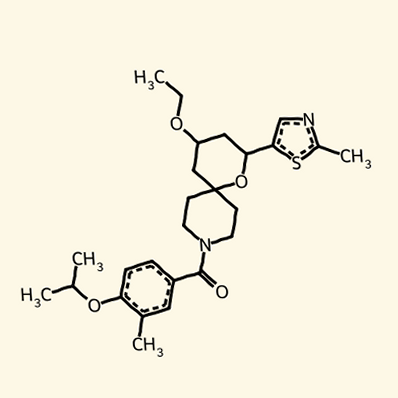 CCOC1CC(c2cnc(C)s2)OC2(CCN(C(=O)c3ccc(OC(C)C)c(C)c3)CC2)C1